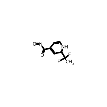 CC(F)(F)C1C=C(C(=O)N=O)C=CN1